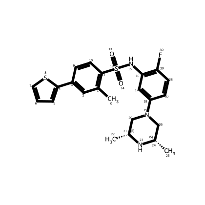 Cc1cc(-c2cccs2)ccc1S(=O)(=O)Nc1cc(N2C[C@@H](C)N[C@@H](C)C2)ccc1F